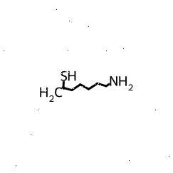 C=C(S)CCCCCN